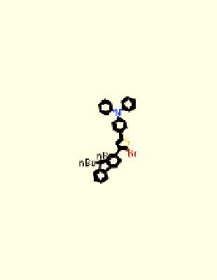 CCCCC1(CCCC)c2ccccc2-c2ccc(-c3cc(-c4ccc(N(c5ccccc5)c5ccccc5)cc4)sc3Br)cc21